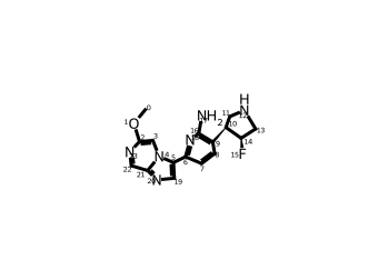 COc1cn2c(-c3ccc([C@H]4CNC[C@H]4F)c(N)n3)cnc2cn1